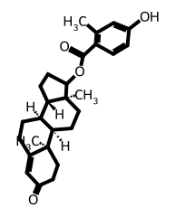 Cc1cc(O)ccc1C(=O)OC1CC[C@H]2[C@@H]3CCC4=CC(=O)CC[C@]4(C)[C@@H]3CC[C@]12C